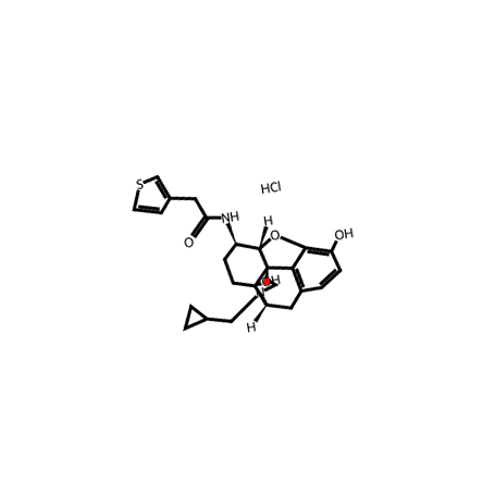 Cl.O=C(Cc1ccsc1)N[C@@H]1CC[C@@]2(O)[C@H]3Cc4ccc(O)c5c4[C@@]2(CCN3CC2CC2)[C@H]1O5